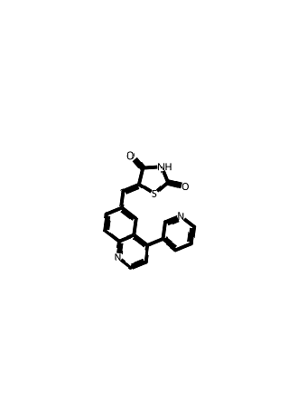 O=C1NC(=O)C(=Cc2ccc3nccc(-c4cccnc4)c3c2)S1